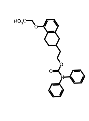 O=C(O)COc1cccc2c1CCC(CCOC(=O)N(c1ccccc1)c1ccccc1)C2